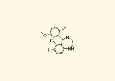 COc1ccc(F)c(C2=NCCNc3ccc(I)c(Cl)c32)c1